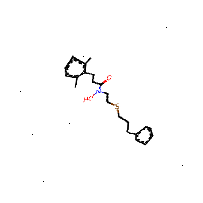 Cc1cccc(C)c1CCC(=O)N(O)CCSCCCc1ccccc1